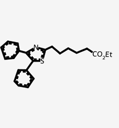 CCOC(=O)CCCCCc1nc(-c2ccccc2)c(-c2ccccc2)s1